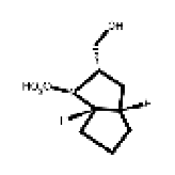 O=C(O)N1[C@H](CO)C[C@@H]2CCC[C@@H]21